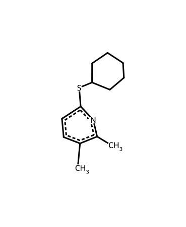 Cc1ccc(SC2CCCCC2)nc1C